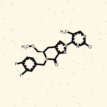 COC[C@H]1Cc2cn(-c3nc(Cl)ncc3C)nc2C(=O)N1Cc1ccc(F)c(F)c1